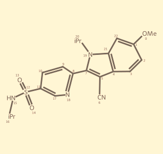 COc1ccc2c(C#N)c(-c3ccc(S(=O)(=O)NC(C)C)cn3)n(C(C)C)c2c1